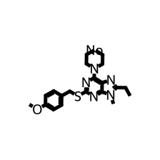 CCc1nc2c(N3C[CH2][No][CH2]C3)nc(SCc3ccc(OC)cc3)nc2n1C